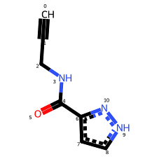 C#CCNC(=O)c1cc[nH]n1